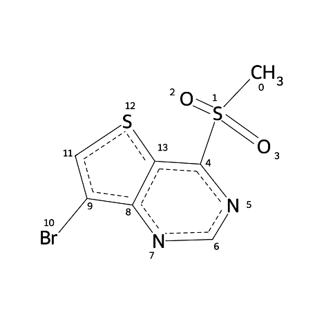 CS(=O)(=O)c1ncnc2c(Br)csc12